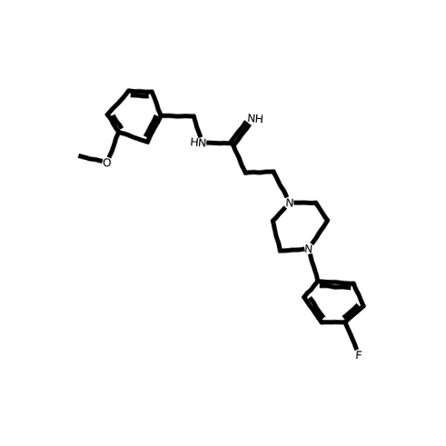 COc1cccc(CNC(=N)CCN2CCN(c3ccc(F)cc3)CC2)c1